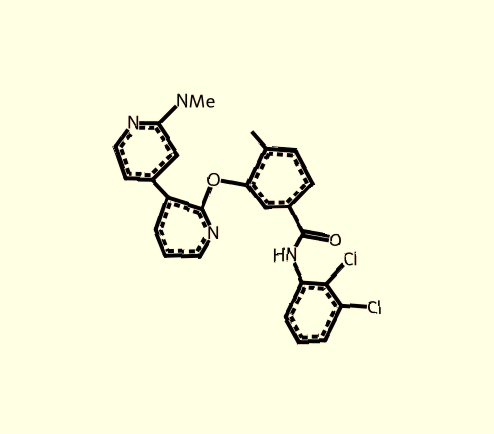 CNc1cc(-c2cccnc2Oc2cc(C(=O)Nc3cccc(Cl)c3Cl)ccc2C)ccn1